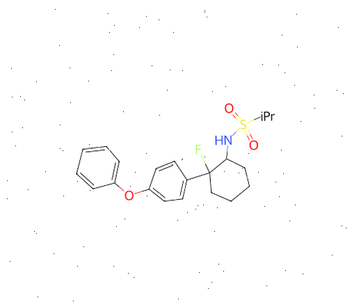 CC(C)S(=O)(=O)NC1CCCCC1(F)c1ccc(Oc2ccccc2)cc1